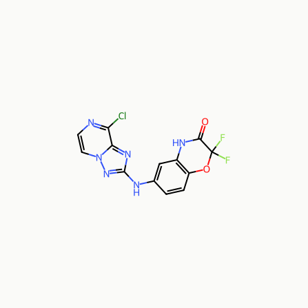 O=C1Nc2cc(Nc3nc4c(Cl)nccn4n3)ccc2OC1(F)F